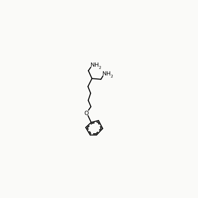 NCC(CN)CCCCOc1ccccc1